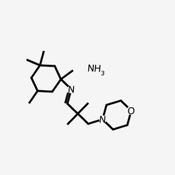 CC1CC(C)(C)CC(C)(N=CC(C)(C)CN2CCOCC2)C1.N